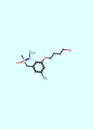 C[SH](O)(Cc1cc(OCCCCO)cc([N+](=O)[O-])c1)=NC(=O)O